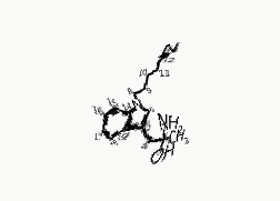 C[C@@](N)(O)Cc1cn(CCCCC#N)c2ccccc12